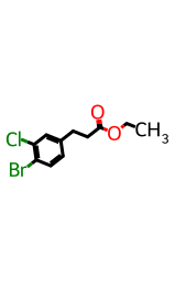 CCOC(=O)CCc1ccc(Br)c(Cl)c1